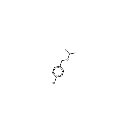 FC(F)OCc1ccc(Br)cc1